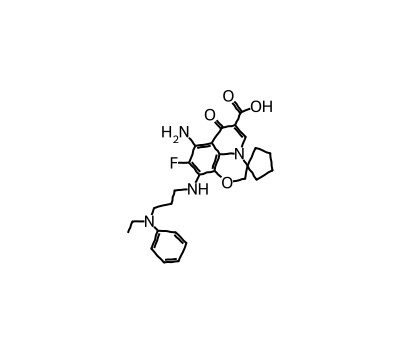 CCN(CCCNc1c(F)c(N)c2c(=O)c(C(=O)O)cn3c2c1OCC31CCCC1)c1ccccc1